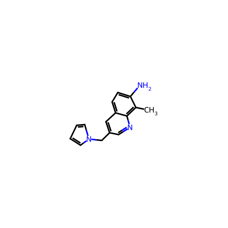 Cc1c(N)ccc2cc(Cn3cccc3)cnc12